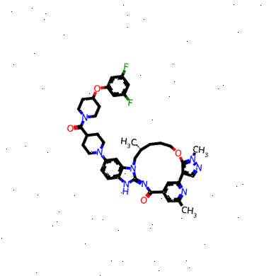 Cc1cc2cc(n1)-c1cnn(C)c1OCCC[C@@H](C)CN1/C(=N/C2=O)Nc2ccc(N3CCC(C(=O)N4CCC(Oc5cc(F)cc(F)c5)CC4)CC3)cc21